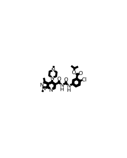 Cc1nn(C)c2ncc(C(=O)NC(=O)Nc3ccc(Cl)c(C(=O)OC(C)C)c3)c(N3CCN(C)CC3)c12